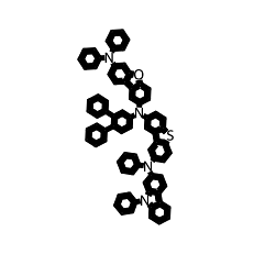 c1ccc(-c2ccc(N(c3ccc4oc5cc(N(c6ccccc6)c6ccccc6)ccc5c4c3)c3ccc4sc5ccc(N(c6ccccc6)c6ccc7c8ccccc8n(-c8ccccc8)c7c6)cc5c4c3)cc2-c2ccccc2)cc1